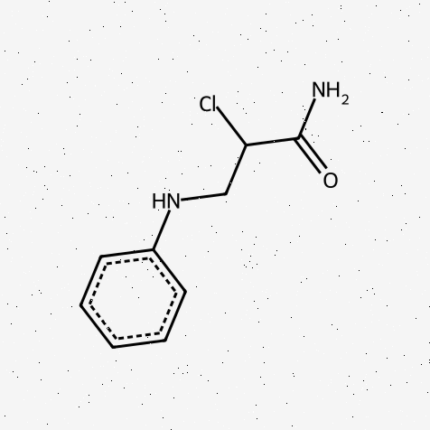 NC(=O)C(Cl)CNc1ccccc1